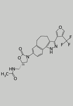 CC(=O)NC[C@H]1CN(c2ccc3c(c2)CCCc2c(-c4cocc4C(F)(F)F)n[nH]c2-3)C(=O)O1